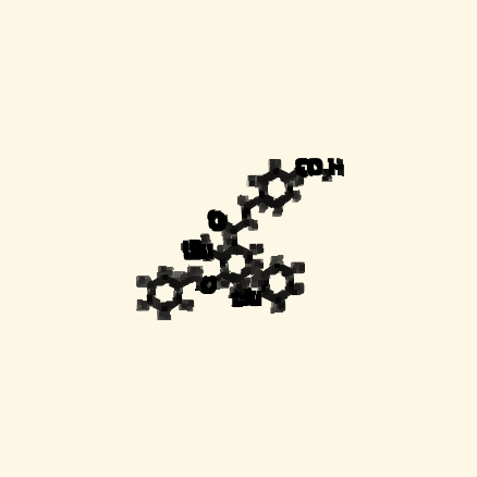 CC(C)(C)c1c(C(=O)C=Cc2ccc(C(=O)O)cc2)cc(-c2ccccc2)c(C(C)(C)C)c1OCc1ccccc1